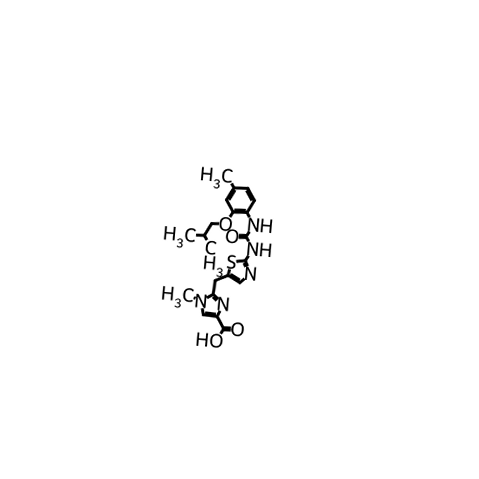 Cc1ccc(NC(=O)Nc2ncc(Cc3nc(C(=O)O)cn3C)s2)c(OCC(C)C)c1